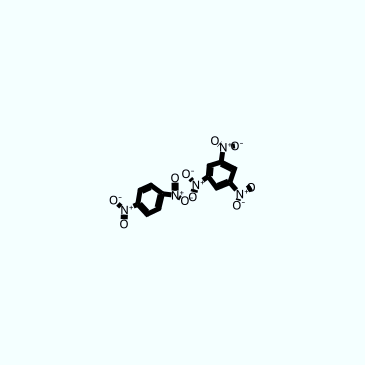 O=[N+]([O-])c1cc([N+](=O)[O-])cc([N+](=O)[O-])c1.O=[N+]([O-])c1ccc([N+](=O)[O-])cc1